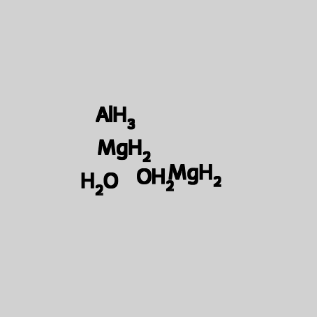 O.O.[AlH3].[MgH2].[MgH2]